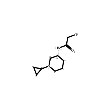 O=C(CCl)N[C@@H]1CCCN(C2CC2)C1